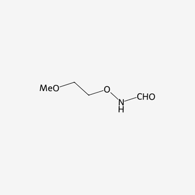 COCCONC=O